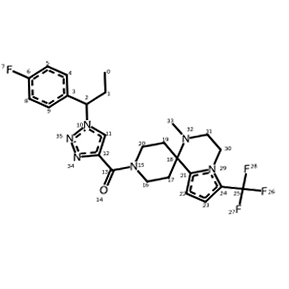 CCC(c1ccc(F)cc1)n1cc(C(=O)N2CCC3(CC2)c2ccc(C(F)(F)F)n2CCN3C)nn1